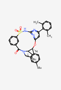 Cc1cccc(C)c1-c1cc2nc(n1)NS(=O)(=O)c1cccc(c1)C(=O)N1Cc3cc(C(C)(C)C)ccc3[C@H](O2)[C@H]1CC(C)(C)C